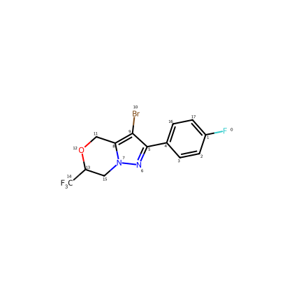 Fc1ccc(-c2nn3c(c2Br)COC(C(F)(F)F)C3)cc1